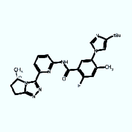 Cc1cc(F)c(C(=O)Nc2cccc(-c3nnc4n3[C@@H](C)CC4)n2)cc1-n1cnc(C(C)(C)C)c1